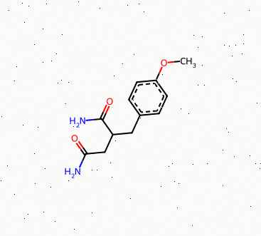 COc1ccc(CC(CC(N)=O)C(N)=O)cc1